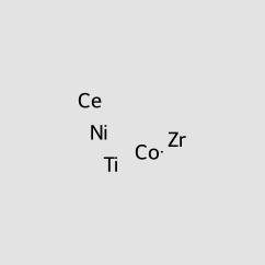 [Ce].[Co].[Ni].[Ti].[Zr]